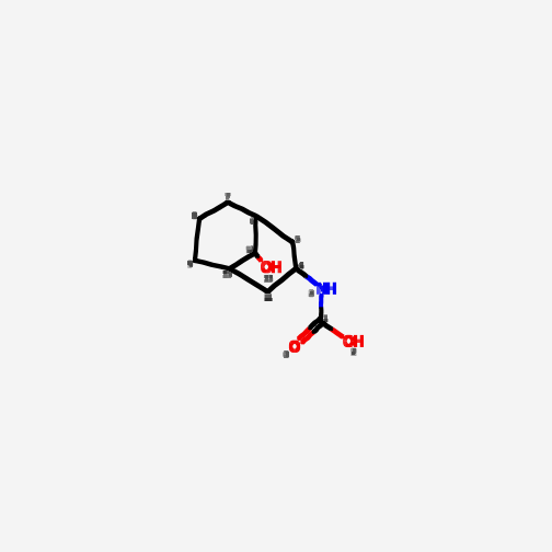 O=C(O)NC1CC2CCCC(C1)C2O